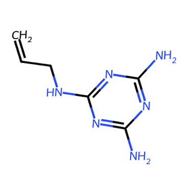 C=CCNc1nc(N)nc(N)n1